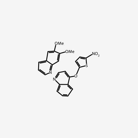 COc1cc2cccnc2cc1OC.O=[N+]([O-])c1ccc(Oc2ccnc3ccccc23)s1